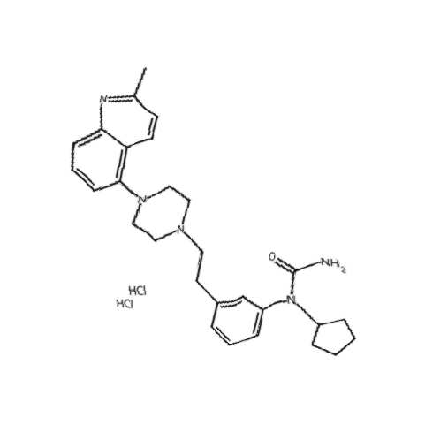 Cc1ccc2c(N3CCN(CCc4cccc(N(C(N)=O)C5CCCC5)c4)CC3)cccc2n1.Cl.Cl